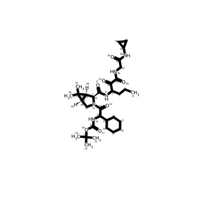 CCCC(NC(=O)[C@@H]1[C@H]2[C@@H](CN1C(=O)C(NC(=O)OC(C)(C)C)C1CCCCC1)C2(C)C)C(=O)C(=O)NCC(=O)NC1CC1